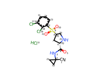 Cl.N#CC1(NC(=O)[C@@H]2C[C@@H](S(=O)(=O)c3cccc(Cl)c3Cl)CN2)CC1